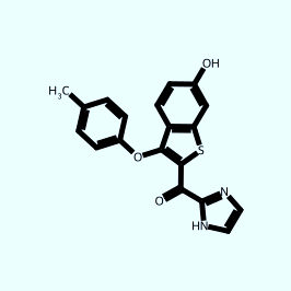 Cc1ccc(Oc2c(C(=O)c3ncc[nH]3)sc3cc(O)ccc23)cc1